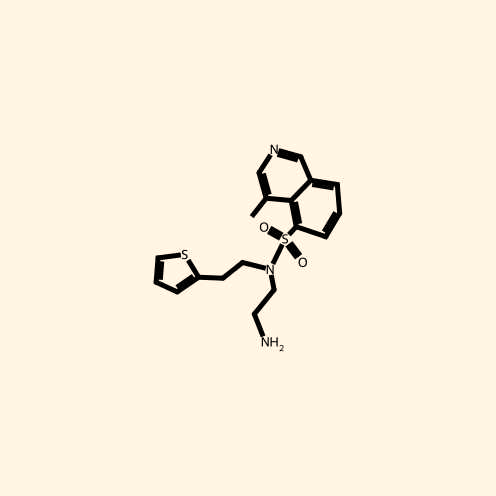 Cc1cncc2cccc(S(=O)(=O)N(CCN)CCc3cccs3)c12